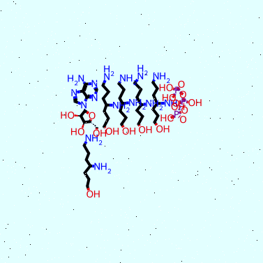 NCCCC(N)CCCO.NCCCC(N)CCCO.NCCCC(N)CCCO.NCCCC(N)CCCO.NCCCC(N)CCCO.Nc1ncnc2c1ncn2[C@@H]1O[C@H](CO)[C@@H](O)[C@H]1O.O=P(O)(O)OP(=O)(O)OP(=O)(O)O